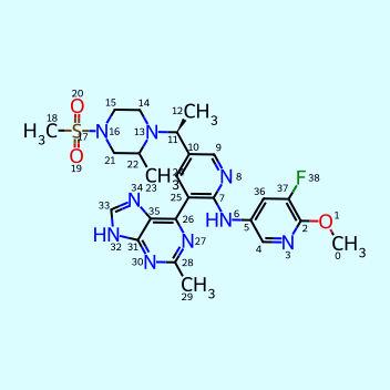 COc1ncc(Nc2ncc([C@H](C)N3CCN(S(C)(=O)=O)CC3C)cc2-c2nc(C)nc3[nH]cnc23)cc1F